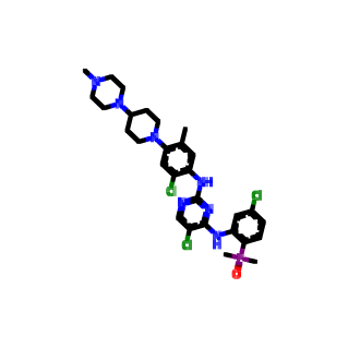 Cc1cc(Nc2ncc(Cl)c(Nc3cc(Cl)ccc3P(C)(C)=O)n2)c(Cl)cc1N1CCC(N2CCN(C)CC2)CC1